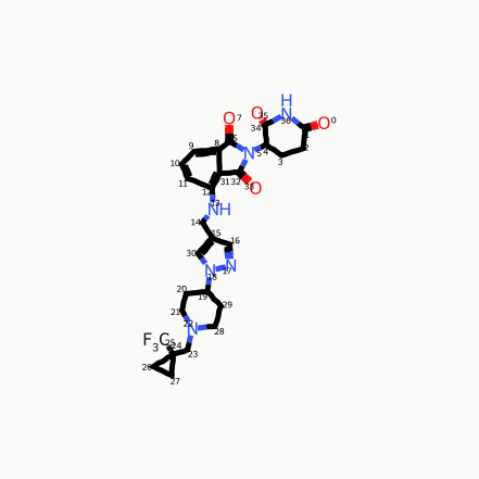 O=C1CCC(N2C(=O)c3cccc(NCc4cnn(C5CCN(CC6(C(F)(F)F)CC6)CC5)c4)c3C2=O)C(=O)N1